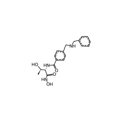 C[C@@H](O)[C@H](NC(=O)c1ccc(CNCc2ccccc2)cc1)C(=O)NO